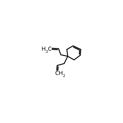 C=CCC1(CC=C)CC=C=CC1